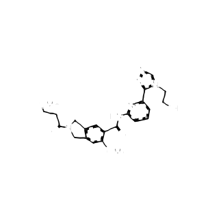 COCCC(=O)N1Cc2cc(OC)c(C(=O)Nc3cccc(-c4nncn4[C@H](C)CO)n3)cc2C1